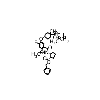 COc1cc(F)c(O[C@H]2CC[C@@](C)(C(=O)OC(C)(C)C)CC2)cc1C(=O)N[C@@H]1CCC[C@@H]1C(=O)OCc1ccccc1